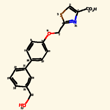 O=C(O)c1csc(COc2ccc(-c3cccc(CO)c3)cc2)n1